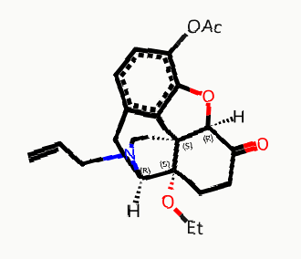 C=CCN1CC[C@]23c4c5ccc(OC(C)=O)c4O[C@H]2C(=O)CC[C@@]3(OCC)[C@H]1C5